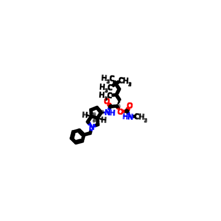 CNC(=O)O[C@@H](CC(C)CC(C)(C)C)C(=O)N[C@H]1CC[C@@H]2CN(Cc3ccccc3)C[C@@H]21